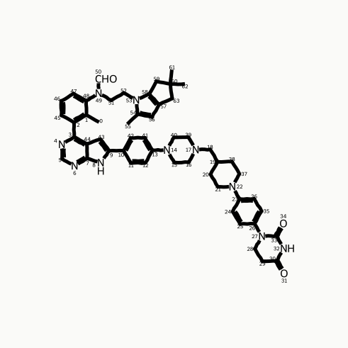 Cc1c(-c2ncnc3[nH]c(-c4ccc(N5CCN(CC6CCN(c7ccc(N8CCC(=O)NC8=O)cc7)CC6)CC5)cc4)cc23)cccc1N(C=O)CCn1c(C)cc2c1CC(C)(C)C2